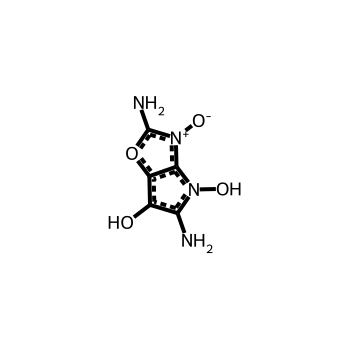 Nc1c(O)c2oc(N)[n+]([O-])c2n1O